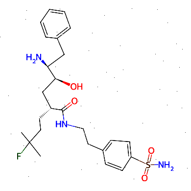 CC(C)(F)CC[C@H](C[C@H](O)[C@@H](N)Cc1ccccc1)C(=O)NCCc1ccc(S(N)(=O)=O)cc1